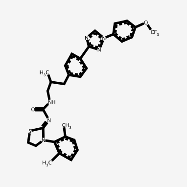 Cc1cccc(C)c1N1CCS/C1=N\C(=O)NCC(C)Cc1ccc(-c2ncn(-c3ccc(OC(F)(F)F)cc3)n2)cc1